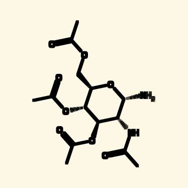 CC(=O)N[C@@H]1[C@@H](OC(C)=O)[C@H](OC(C)=O)[C@@H](COC(C)=O)O[C@@H]1N